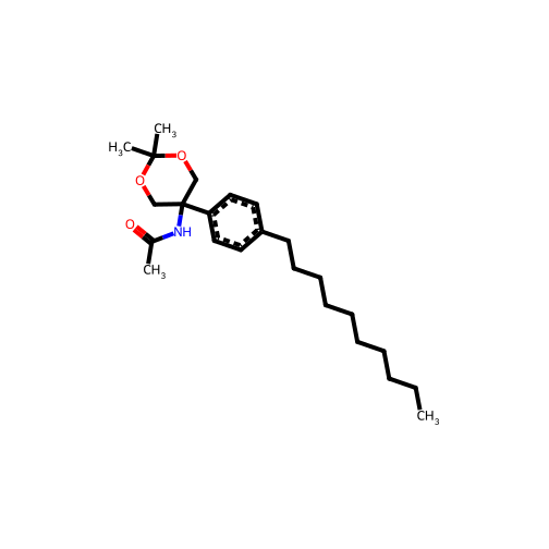 CCCCCCCCCCc1ccc(C2(NC(C)=O)COC(C)(C)OC2)cc1